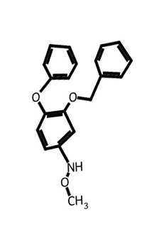 CONc1ccc(Oc2ccccc2)c(OCc2ccccc2)c1